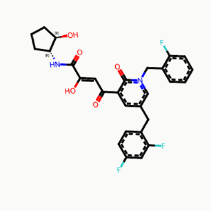 O=C(N[C@@H]1CCC[C@H]1O)C(O)=CC(=O)c1cc(Cc2ccc(F)cc2F)cn(Cc2ccccc2F)c1=O